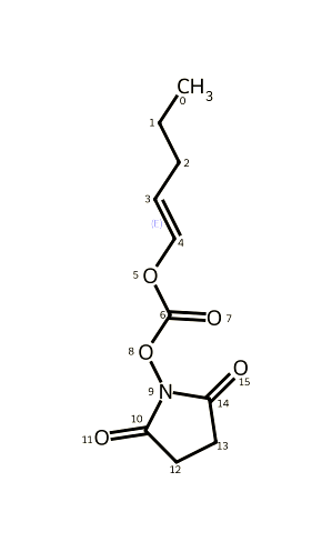 CCC/C=C/OC(=O)ON1C(=O)CCC1=O